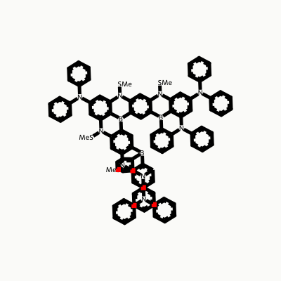 CSN1c2cc3c(cc2B2c4cc5c(cc4N(SC)c4cc(N(c6ccccc6)c6ccccc6)cc1c42)N(SC)c1cc(N(c2ccccc2)c2ccccc2)cc2c1B5c1ccccc1N2c1ccccc1)B1c2ccccc2N(c2ccccc2)c2cc(N(c4ccccc4)c4ccccc4)cc(c21)N3SC